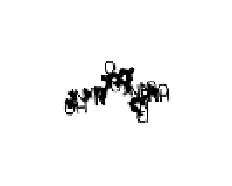 C=C(N1CC(n2cc(-c3oc4c([C@@H](C)Nc5ccc(Cl)nc5-c5noc(=O)[nH]5)cc(C)cc4c(=O)c3C)cn2)C1)C(C)(C)O